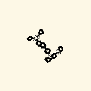 c1ccc(-c2nc(-c3ccccc3)nc(-c3ccc4cc(-c5ccc(-n6c7ccccc7c7ccc(-c8nc9ccccc9s8)cc76)cc5)ccc4c3)n2)cc1